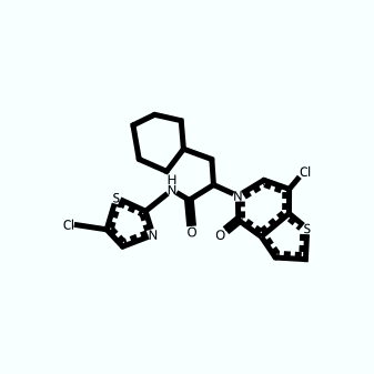 O=C(Nc1ncc(Cl)s1)C(CC1CCCCC1)n1cc(Cl)c2sccc2c1=O